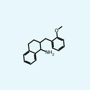 COc1ccccc1CC1CCc2ccccc2C1N